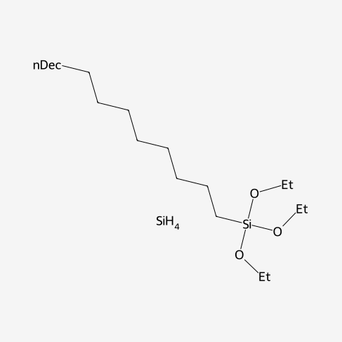 CCCCCCCCCCCCCCCCCC[Si](OCC)(OCC)OCC.[SiH4]